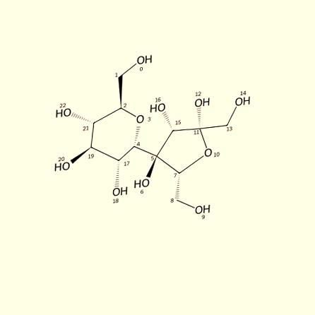 OC[C@H]1O[C@H]([C@@]2(O)[C@@H](CO)O[C@](O)(CO)[C@H]2O)[C@H](O)[C@@H](O)[C@@H]1O